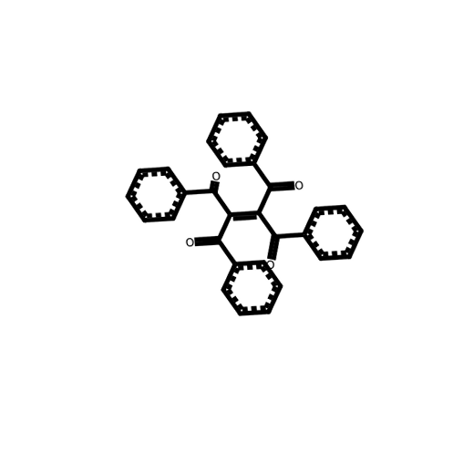 O=C(C(C(=O)c1ccccc1)=C(C(=O)c1ccccc1)C(=O)c1ccccc1)c1ccccc1